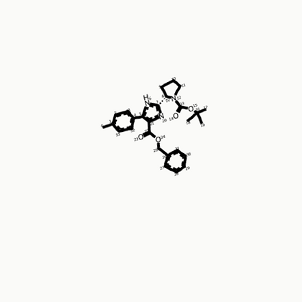 Cc1ccc(-c2[nH]c([C@@H]3CCCN3C(=O)OC(C)(C)C)nc2C(=O)OCc2ccccc2)cc1